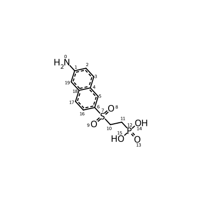 Nc1ccc2cc(S(=O)(=O)CCP(=O)(O)O)ccc2c1